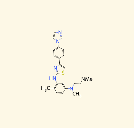 CNCCN(C)c1ccc(C)c(Nc2nc(-c3ccc(-n4ccnc4)cc3)cs2)c1